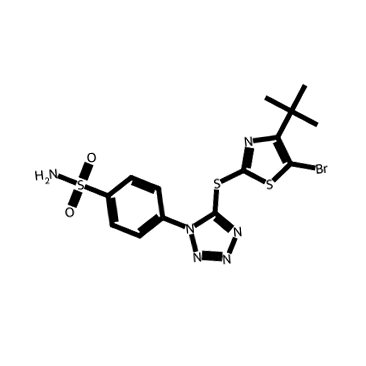 CC(C)(C)c1nc(Sc2nnnn2-c2ccc(S(N)(=O)=O)cc2)sc1Br